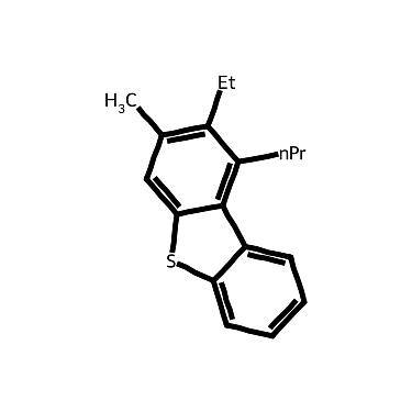 CCCc1c(CC)c(C)cc2sc3ccccc3c12